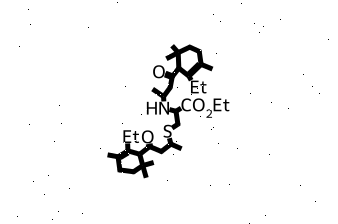 CCOC(=O)C(CSC(C)CC(=O)C1C(CC)=C(C)CCC1(C)C)NC(C)CC(=O)C1C(CC)=C(C)CCC1(C)C